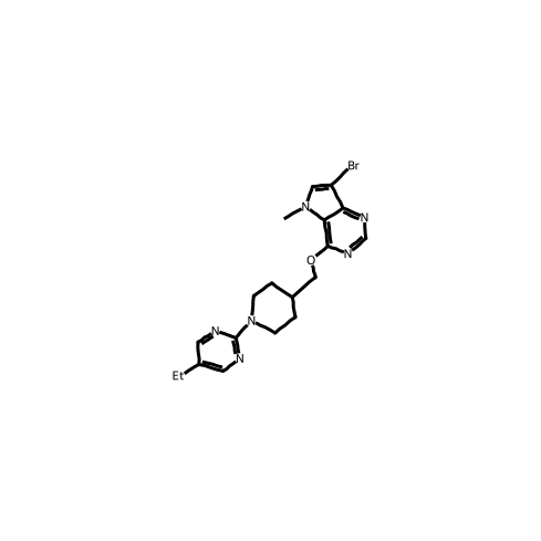 CCc1cnc(N2CCC(COc3ncnc4c(Br)cn(C)c34)CC2)nc1